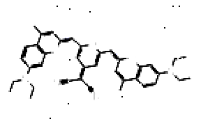 CCN(CC)c1ccc2c(c1)O/C(=C\C1=CC(=C(C#N)C#N)C=C(/C=C3\C=C(C)c4ccc(N(CC)CC)cc4O3)O1)C=C2C